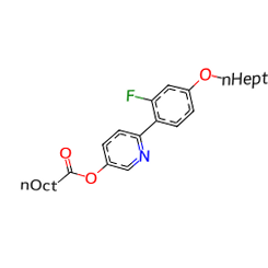 CCCCCCCCC(=O)Oc1ccc(-c2ccc(OCCCCCCC)cc2F)nc1